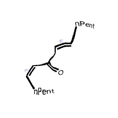 CCCCC/C=C\C(=O)/C=C/CCCCC